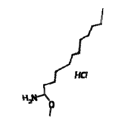 CCCCCCCCCCCC(N)OC.Cl